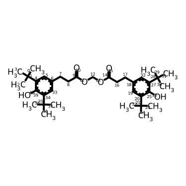 CC(C)(C)c1cc(CCC(=O)OCOC(=O)CCc2cc(C(C)(C)C)c(O)c(C(C)(C)C)c2)cc(C(C)(C)C)c1O